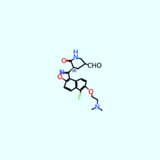 CN(C)CCOc1ccc2c(ccc3onc([C@@H]4CC(C=O)CNC4=O)c32)c1F